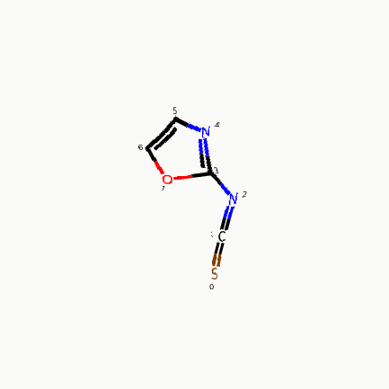 S=C=Nc1ncco1